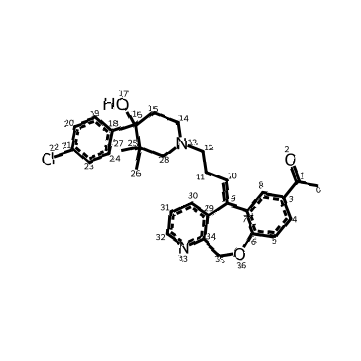 CC(=O)c1ccc2c(c1)/C(=C/CCN1CCC(O)(c3ccc(Cl)cc3)C(C)(C)C1)c1cccnc1CO2